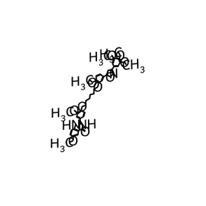 COc1ccc2c(c1)C(=O)NC(c1ccc(OCCCCCCOc3cc(C4CC(c5cc(OC)c(OC)c(OC)c5)=NO4)ccc3OC)c(OC)c1)N2